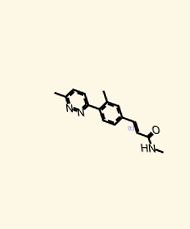 CNC(=O)/C=C/c1ccc(-c2ccc(C)nn2)c(C)c1